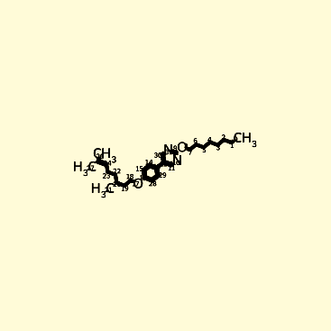 CCCCCCCCOc1ncc(-c2ccc(OCC[C@H](C)CCC=C(C)C)cc2)cn1